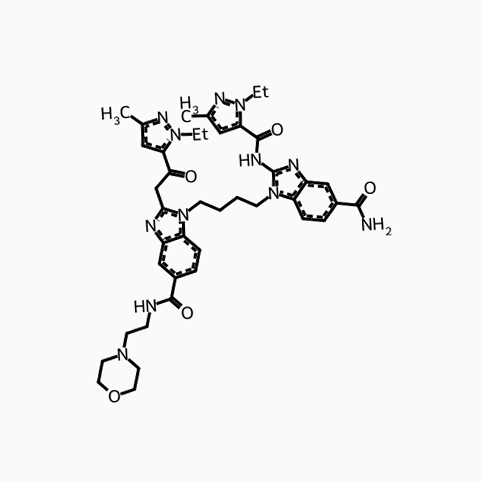 CCn1nc(C)cc1C(=O)Cc1nc2cc(C(=O)NCCN3CCOCC3)ccc2n1CCCCn1c(NC(=O)c2cc(C)nn2CC)nc2cc(C(N)=O)ccc21